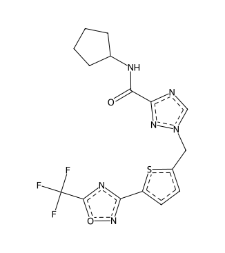 O=C(NC1CCCC1)c1ncn(Cc2ccc(-c3noc(C(F)(F)F)n3)s2)n1